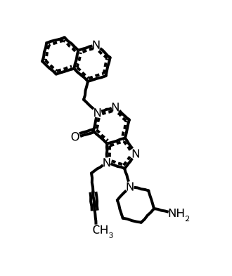 CC#CCn1c(N2CCCC(N)C2)nc2cnn(Cc3ccnc4ccccc34)c(=O)c21